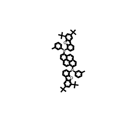 Cc1cccc(N(c2ccc3ccc4c(N(c5cccc(C)c5)c5cccc6c5oc5c(C(C)(C)C)cc(C(C)(C)C)cc56)ccc5ccc2c3c54)c2cccc3c2oc2c(C(C)(C)C)cc(C(C)(C)C)cc23)c1